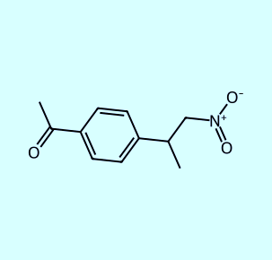 CC(=O)c1ccc(C(C)C[N+](=O)[O-])cc1